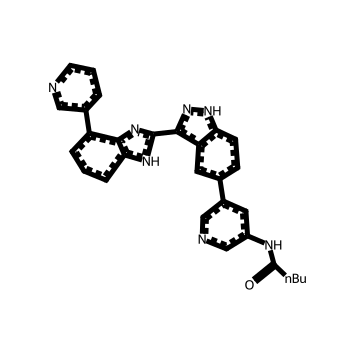 CCCCC(=O)Nc1cncc(-c2ccc3[nH]nc(-c4nc5c(-c6cccnc6)cccc5[nH]4)c3c2)c1